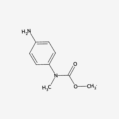 [CH2]OC(=O)N(C)c1ccc(N)cc1